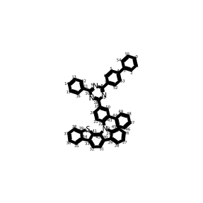 c1ccc(-c2ccc(-c3nc(-c4ccccc4)nc(-c4ccc(-n5c6ccccc6c6ccc7c8ccccc8sc7c65)c(-c5ccccc5)c4)n3)cc2)cc1